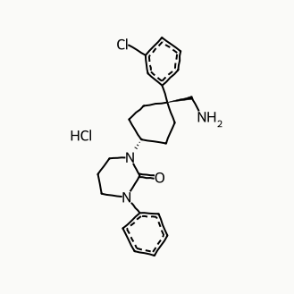 Cl.NC[C@]1(c2cccc(Cl)c2)CC[C@@H](N2CCCN(c3ccccc3)C2=O)CC1